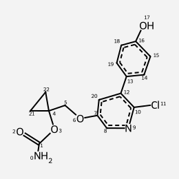 NC(=O)OC1(COc2cnc(Cl)c(-c3ccc(O)cc3)c2)CC1